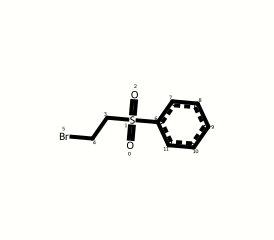 O=S(=O)(CCBr)c1ccccc1